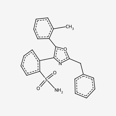 Cc1ccccc1-c1oc(Cc2ccccc2)nc1-c1ccccc1S(N)(=O)=O